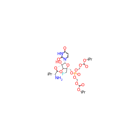 CC(C)OC(=O)OCOP(=O)(OCOC(=O)OC(C)C)OC[C@@]1(CF)O[C@@H](n2ccc(=O)[nH]c2=O)[C@](C)(O)[C@@H]1OC(=O)[C@H](N)C(C)C